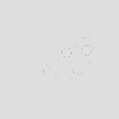 CN1CCN([C@@H]2CCCN(c3cnc(C(N)=O)c(Nc4ccc(N5CCN(C(=O)OC(C)(C)C)CC5)cc4)n3)C2)C1=O